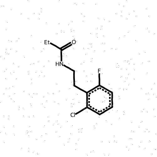 CCC(=O)NCCc1c(F)cccc1Cl